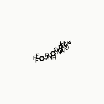 O=C(Cc1ccc(C(F)(F)F)cc1)Nc1ccc(Oc2ncnc3c2ccn3C(=O)NC2CC2)cc1